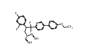 N=CN(CC(c1ccc(F)cc1F)C(F)(F)c1ccc(-c2ccc(OCC(F)(F)F)cc2)cn1)N=N